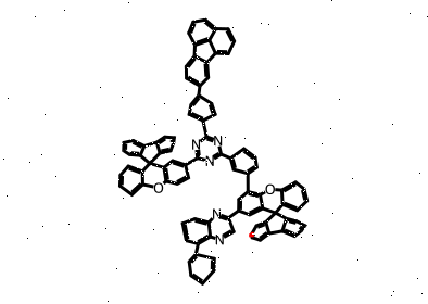 c1ccc(-c2cccc3nc(-c4cc(-c5cccc(-c6nc(-c7ccc(-c8ccc9c(c8)-c8cccc%10cccc-9c8%10)cc7)nc(-c7ccc8c(c7)C7(c9ccccc9O8)c8ccccc8-c8ccccc87)n6)c5)c5c(c4)C4(c6ccccc6O5)c5ccccc5-c5ccccc54)cnc23)cc1